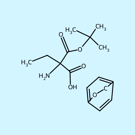 CCC(N)(C(=O)O)C(=O)OC(C)(C)C.c1cc2ccc1CO2